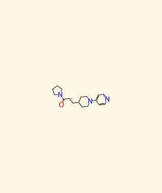 O=C([CH]CC1CCN(c2ccncc2)CC1)N1CCCC1